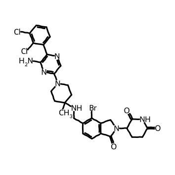 CC1(NCc2ccc3c(c2Br)CN(C2CCC(=O)NC2=O)C3=O)CCN(c2cnc(-c3cccc(Cl)c3Cl)c(N)n2)CC1